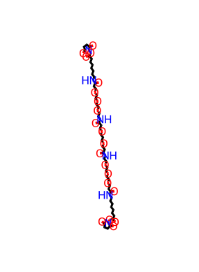 O=C(CCOCCCOCCC(=O)NCCOCCOCCOCCC(=O)NCCCCCCCC(=O)ON1C(=O)CCC1=O)NCCOCCOCCOCCC(=O)NCCCCCCCC(=O)ON1C(=O)CCC1=O